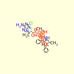 COC(COP(=O)(O)OP(=O)(N[C@@H](CC(C)C)C(=O)OCc1ccccc1)Oc1ccccc1)C(O)C(F)C(C)n1cnc2c(N)nc(Cl)nc21